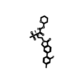 Cc1ccc(-c2ccc3c(c2)CN(CC[C@](C)(C(=O)NOC2CCCCO2)S(C)(=O)=O)C3=O)c(F)c1